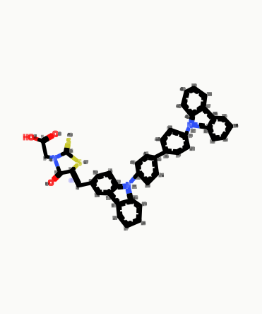 O=C(O)CN1C(=O)/C(=C/c2ccc3c(c2)c2ccccc2n3-c2ccc(-c3ccc(-n4c5ccccc5c5ccccc54)cc3)cc2)SC1=S